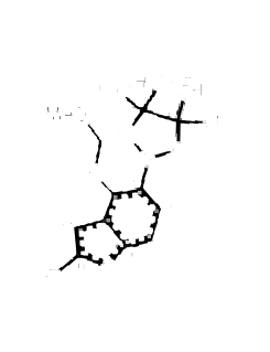 COCOc1c(B2OC(C)(C)C(C)(C)O2)ccc2sc(F)cc12